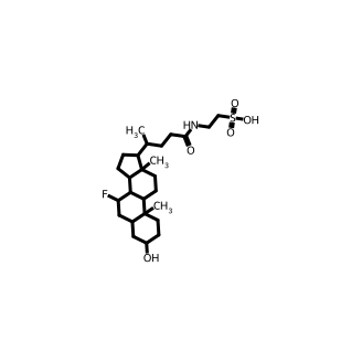 CC(CCC(=O)NCCS(=O)(=O)O)C1CCC2C3C(F)CC4CC(O)CCC4(C)C3CCC12C